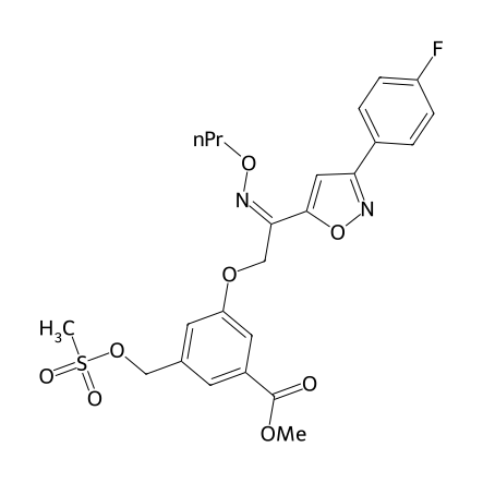 CCCON=C(COc1cc(COS(C)(=O)=O)cc(C(=O)OC)c1)c1cc(-c2ccc(F)cc2)no1